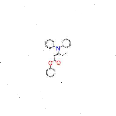 CC/C(=C\C(=O)Oc1ccccc1)N(c1ccccc1)c1ccccc1